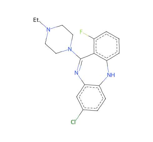 CCN1CCN(C2=Nc3cc(Cl)ccc3Nc3cccc(F)c32)CC1